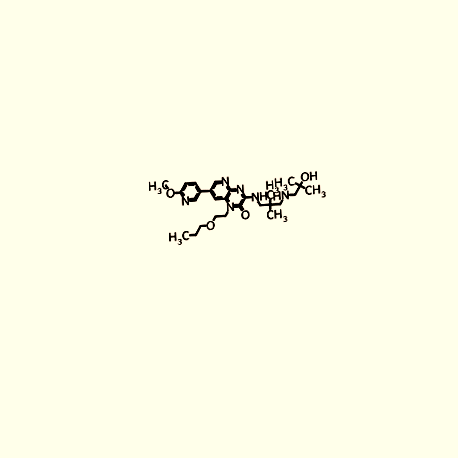 CCCOCCn1c(=O)c(NCC(C)(C)CNCC(C)(C)O)nc2ncc(-c3ccc(OC)nc3)cc21